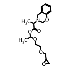 CC(OCCOCC1CO1)OC(=O)C(C)N1COc2ccccc2C1